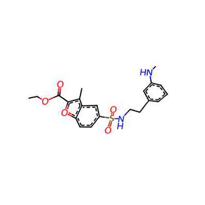 CCOC(=O)c1oc2ccc(S(=O)(=O)NCCc3cccc(NC)c3)cc2c1C